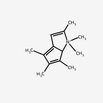 CC1=[C]C2=C(C)C(C)=C(C)C2[N+]1(C)C